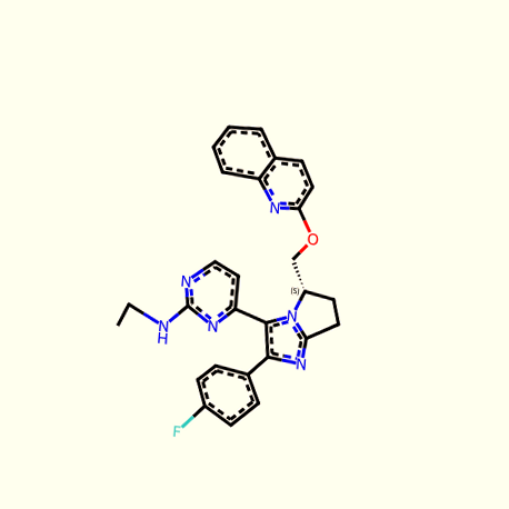 CCNc1nccc(-c2c(-c3ccc(F)cc3)nc3n2[C@H](COc2ccc4ccccc4n2)CC3)n1